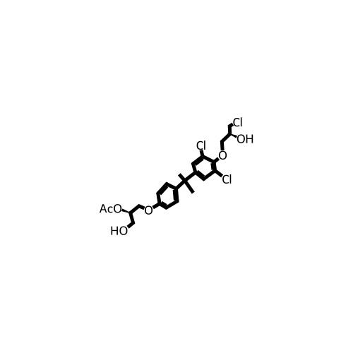 CC(=O)O[C@H](CO)COc1ccc(C(C)(C)c2cc(Cl)c(OC[C@H](O)CCl)c(Cl)c2)cc1